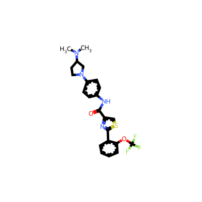 CN(C)C1CCN(c2ccc(NC(=O)c3csc(-c4ccccc4OC(F)(F)F)n3)cc2)C1